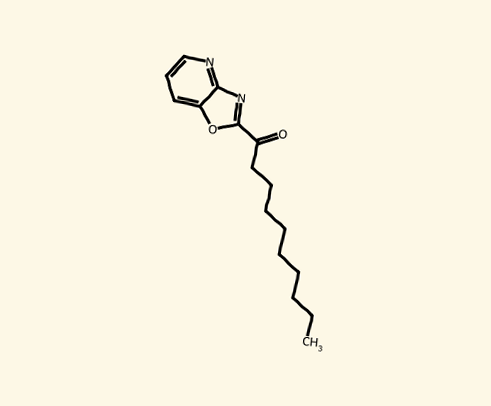 CCCCCCCCCC(=O)c1nc2ncccc2o1